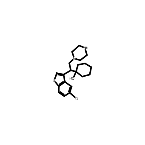 OC1(C(CN2CCNCC2)c2csc3ccc(Cl)cc23)CCCCC1